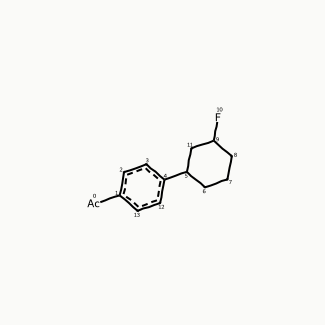 CC(=O)c1ccc(C2CCCC(F)C2)cc1